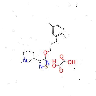 Cc1ccc(C)c(CCCOc2nsnc2C2=CCCN(C)C2)c1.O=C(O)C(=O)O